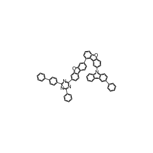 c1ccc(-c2ccc(-c3nc(-c4ccccc4)nc(-c4ccc5c(c4)oc4cc(-c6cccc7oc8ccc(-n9c%10ccccc%10c%10cc(-c%11ccccc%11)ccc%109)cc8c67)ccc45)n3)cc2)cc1